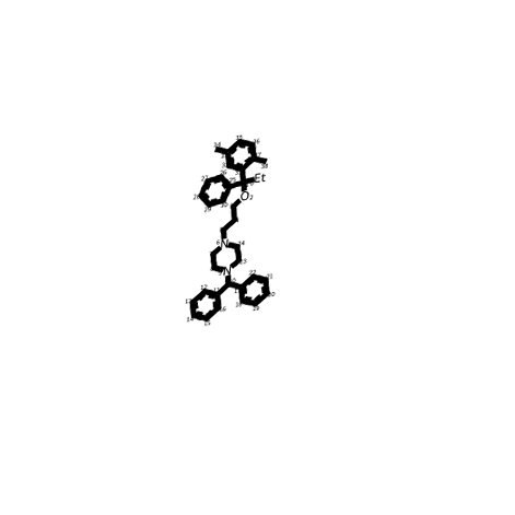 CCC(OCCCN1CCN(C(c2ccccc2)c2ccccc2)CC1)(c1ccccc1)c1cc(C)ccc1C